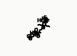 CCCc1cc(C(O)(C(F)(F)F)C(F)(F)F)cc(CCC)c1OCCCC(C)N1C(=O)NC(C)(c2ccc3c(c2)OCO3)C1=O